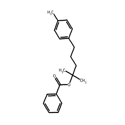 Cc1ccc(CCCC(C)(C)OC(=O)c2ccccc2)cc1